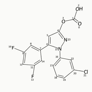 O=C(O)Oc1cc(-c2cc(F)cc(F)c2)n(-c2cccc(Cl)c2)n1